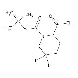 CC(=O)C1CCC(F)(F)CN1C(=O)OC(C)(C)C